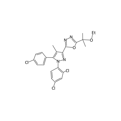 CCOC(C)(C)c1nnc(-c2nn(-c3ccc(Cl)cc3Cl)c(-c3ccc(Cl)cc3)c2C)o1